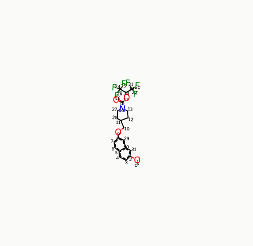 COc1ccc2ccc(OCC3CCN(C(=O)OC(C(F)(F)F)C(F)(F)F)CC3)cc2c1